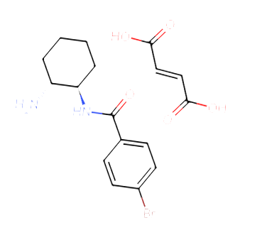 N[C@@H]1CCCC[C@H]1NC(=O)c1ccc(Br)cc1.O=C(O)C=CC(=O)O